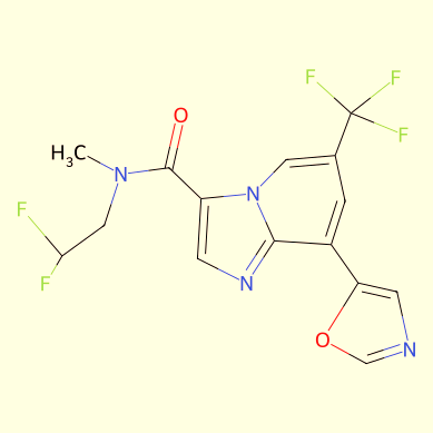 CN(CC(F)F)C(=O)c1cnc2c(-c3cnco3)cc(C(F)(F)F)cn12